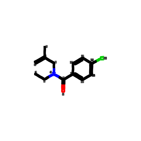 C=C(C)CN(CC)C(=O)c1ccc(Cl)cc1